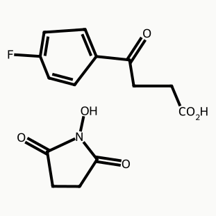 O=C(O)CCC(=O)c1ccc(F)cc1.O=C1CCC(=O)N1O